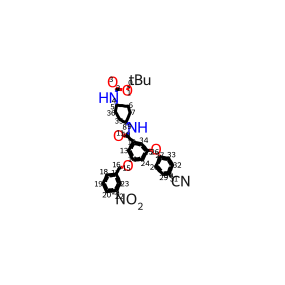 CC(C)(C)OC(=O)NC1CCC(NC(=O)c2cc(OCc3cccc([N+](=O)[O-])c3)cc(Oc3ccc(C#N)cc3)c2)CC1